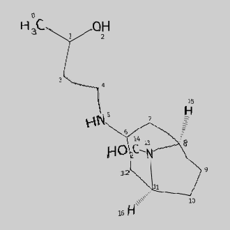 CC(O)CCNC1C[C@H]2CC[C@@H](C1)N2C(=O)O